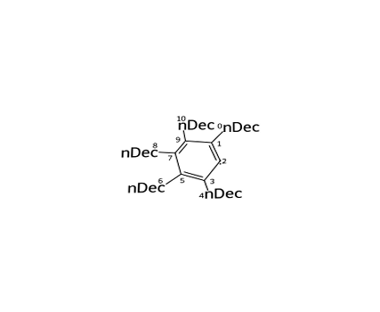 CCCCCCCCCCc1[c]c(CCCCCCCCCC)c(CCCCCCCCCC)c(CCCCCCCCCC)c1CCCCCCCCCC